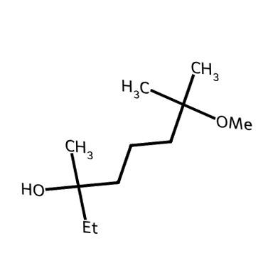 CCC(C)(O)CCCC(C)(C)OC